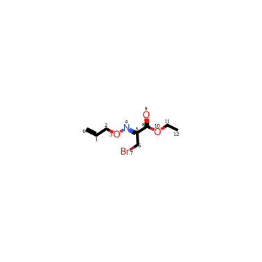 C=CCO/N=C(\CBr)C(=O)OCC